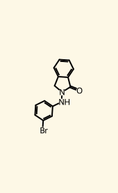 O=C1c2ccccc2CN1Nc1cccc(Br)c1